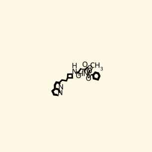 COC(=O)[C@H](CC(=O)NC1CC(CCc2ccc3cccnc3n2)C1)NS(=O)(=O)c1ccccc1